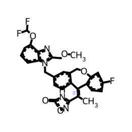 COCc1nc2c(OC(F)F)cccc2n1Cc1ccc2c(c1)COc1cc(F)ccc1/C2=C(\C)c1noc(=O)[nH]1